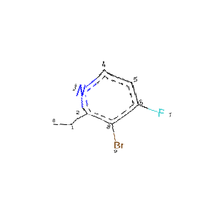 CCc1nccc(F)c1Br